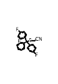 N#CCSC(c1ccc(F)cc1)(c1ccc(F)cc1)c1ccccc1F